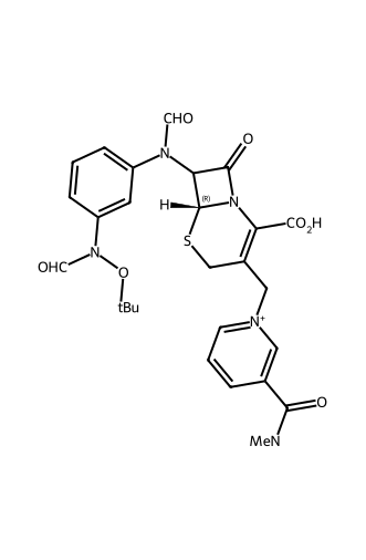 CNC(=O)c1ccc[n+](CC2=C(C(=O)O)N3C(=O)C(N(C=O)c4cccc(N(C=O)OC(C)(C)C)c4)[C@H]3SC2)c1